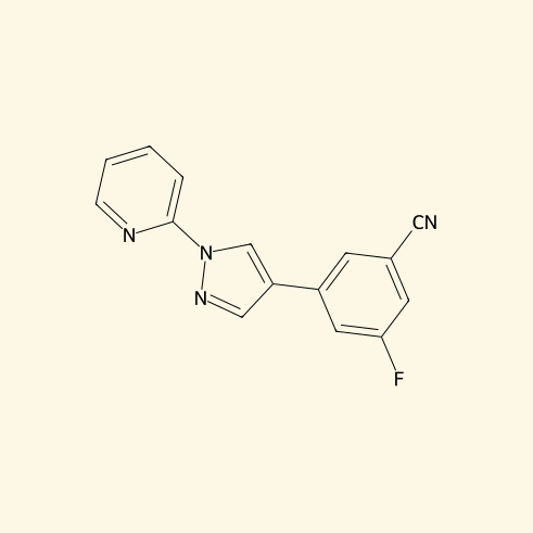 N#Cc1cc(F)cc(-c2cnn(-c3ccccn3)c2)c1